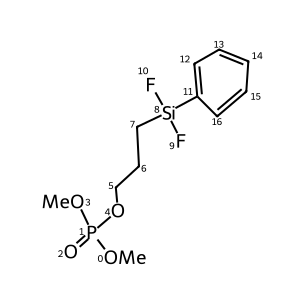 COP(=O)(OC)OCCC[Si](F)(F)c1ccccc1